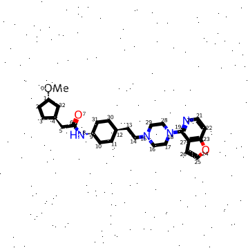 CO[C@H]1CC[C@H](CC(=O)N[C@H]2CC[C@H](CCN3CCN(c4nccc5occc45)CC3)CC2)C1